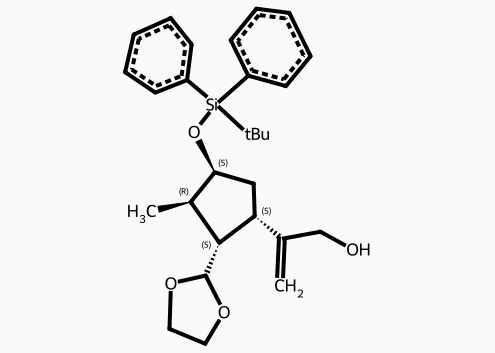 C=C(CO)[C@H]1C[C@H](O[Si](c2ccccc2)(c2ccccc2)C(C)(C)C)[C@H](C)[C@H]1C1OCCO1